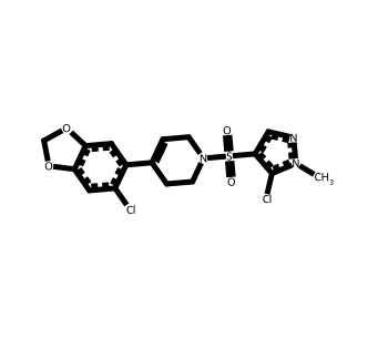 Cn1ncc(S(=O)(=O)N2CC=C(c3cc4c(cc3Cl)OCO4)CC2)c1Cl